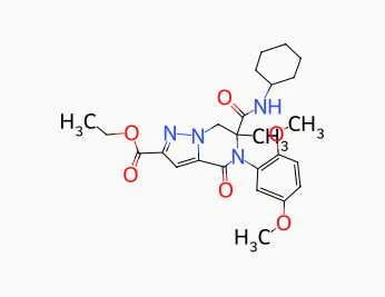 CCOC(=O)c1cc2n(n1)CC(C)(C(=O)NC1CCCCC1)N(c1cc(OC)ccc1OC)C2=O